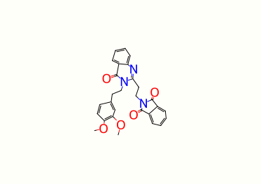 COc1ccc(CCn2c(CCN3C(=O)c4ccccc4C3=O)nc3ccccc3c2=O)cc1OC